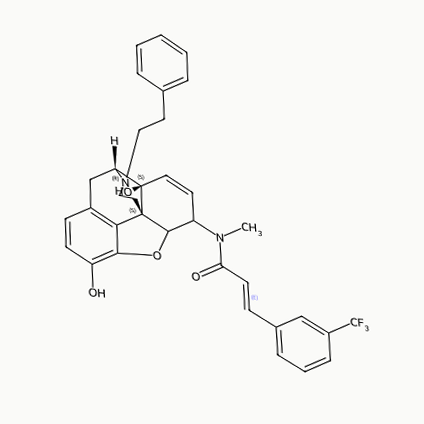 CN(C(=O)/C=C/c1cccc(C(F)(F)F)c1)C1C=C[C@@]2(O)[C@H]3Cc4ccc(O)c5c4[C@@]2(CCN3CCc2ccccc2)C1O5